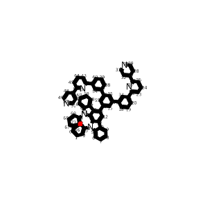 c1ccc(-n2c3ccccc3c3cc(-c4cc(-c5cccc(-c6cccc(-c7ccncc7)n6)c5)cc(-c5cccc(-c6cccc(-c7ccncc7)n6)c5)c4)c4c5ccccc5n(-c5ccccc5)c4c32)cc1